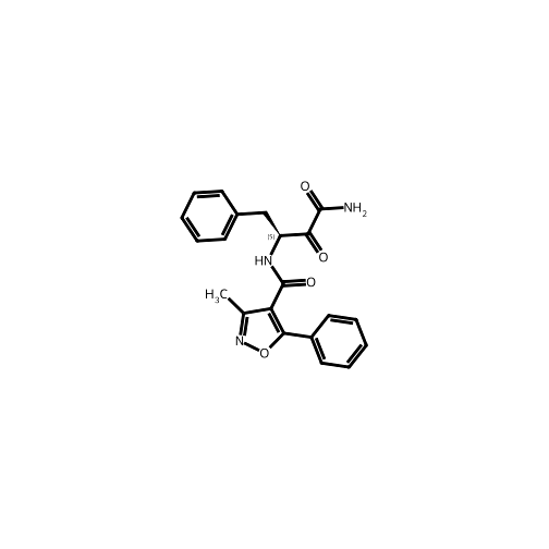 Cc1noc(-c2ccccc2)c1C(=O)N[C@@H](Cc1ccccc1)C(=O)C(N)=O